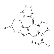 O=C(c1c(-c2ccc(Cl)cc2)cc(CC(F)F)n1Cc1ccccc1)N1CCOCC1